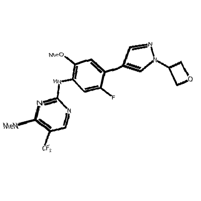 CNc1nc(Nc2cc(F)c(-c3cnn(C4COC4)c3)cc2OC)ncc1C(F)(F)F